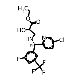 CCOC(=O)C(O)CN[C@@H](c1cc(F)cc(C(F)(F)F)c1)c1ccc(Cl)cn1